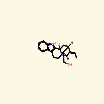 C/C=C1\CN2C3Cc4c([nH]c5ccccc45)[C@@H]2C[C@H]1[C@@H]3CO